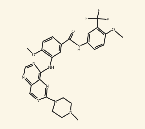 COc1ccc(C(=O)Nc2ccc(OC)c(C(F)(F)F)c2)cc1Nc1ncnc2cnc(N3CCN(C)CC3)nc12